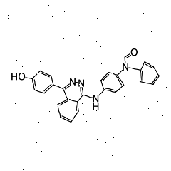 O=CN(c1ccccc1)c1ccc(Nc2nnc(-c3ccc(O)cc3)c3ccccc23)cc1